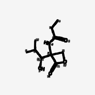 CCC(=O)NC1([C@@H](O)C(C)C)COC1=O